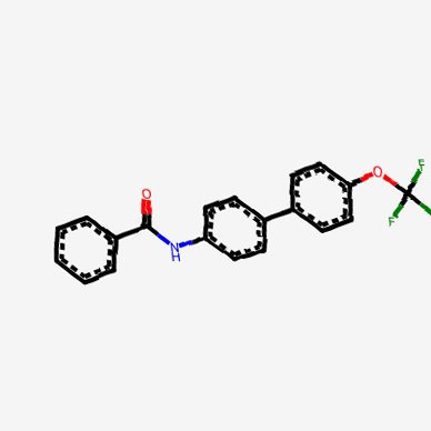 O=C(Nc1ccc(-c2ccc(OC(F)(F)F)cc2)cc1)c1ccccc1